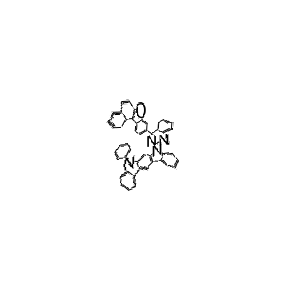 c1ccc(-n2c3ccccc3c3cc4c5ccccc5n(-c5nc(-c6ccc7c(c6)oc6ccc8ccccc8c67)c6ccccc6n5)c4cc32)cc1